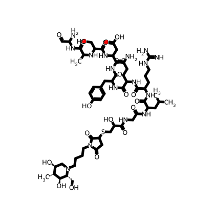 CC(C)CC(NC(=O)CNC(=O)C(O)CSC1CC(=O)N(CCCCN2C[C@H](O)[C@@H](C)[C@H](O)[C@H]2CO)C1=O)C(=O)NC(CCCNC(=N)N)C(=O)NC(CCC(N)=O)C(=O)NC(Cc1ccc(O)cc1)C(=O)NC(=O)C(CC(=O)O)NC(=O)C(CO)NC(C)C(=O)NC(N)C=O